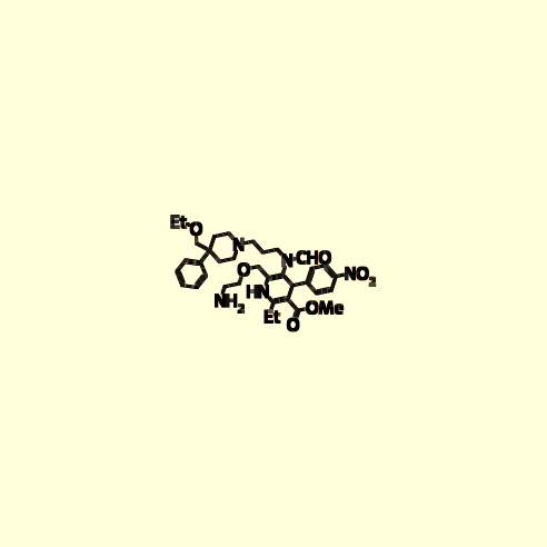 CCOCC1(c2ccccc2)CCN(CCCN(C=O)C2=C(COCCN)NC(CC)=C(C(=O)OC)C2c2ccc([N+](=O)[O-])cc2)CC1